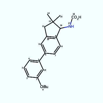 CC(C)COc1cccc(-c2ccc3c(c2)CC(C)(C)C3NC(=O)O)c1